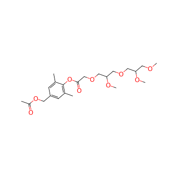 COCC(COCC(COCC(=O)Oc1c(C)cc(COC(C)=O)cc1C)OC)OC